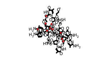 CC[C@H]1O[C@@H](n2cc(C)c(N)nc2=O)CC1OP(=O)(S)OC[C@H]1O[C@@H](n2cc(C)c(=O)[nH]c2=O)CC1OP(=O)(S)OC[C@H]1O[C@@H](n2cc(C)c(N)nc2=O)[C@@H](OCCOC)C1OP(=O)(O)OC[C@H]1O[C@@H](n2cc(C)c(=O)[nH]c2=O)[C@@H](OCCOC)C1OP(=O)(S)OC[C@H]1O[C@@H](n2cc(C)c(N)nc2=O)[C@@H](OCCOC)C1OP(=O)(S)OC[C@H]1O[C@@H](n2cnc3c(N)ccnc32)[C@@H](OCCOC)C1O